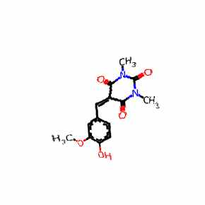 COc1cc(C=C2C(=O)N(C)C(=O)N(C)C2=O)ccc1O